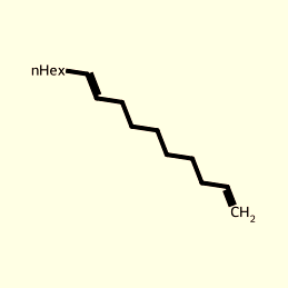 C=CCCCCCC/C=C/CCCCCC